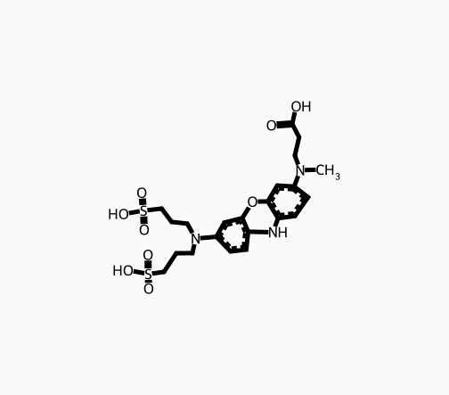 CN(CCC(=O)O)c1ccc2c(c1)Oc1cc(N(CCCS(=O)(=O)O)CCCS(=O)(=O)O)ccc1N2